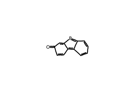 O=C1C=CC2=c3ccccc3=BC2=C1